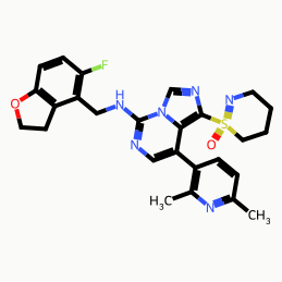 Cc1ccc(-c2cnc(NCc3c(F)ccc4c3CCO4)n3cnc(S4(=O)=NCCCC4)c23)c(C)n1